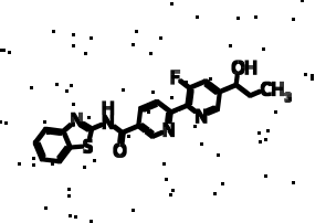 CCC(O)c1cnc(-c2ccc(C(=O)Nc3nc4ccccc4s3)cn2)c(F)c1